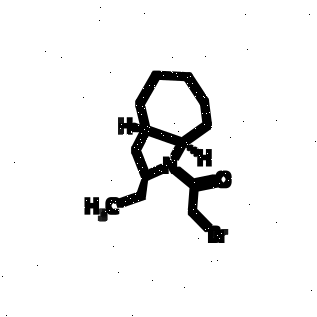 CC[C@H]1C[C@@H]2CCCCC[C@H]2N1C(=O)CBr